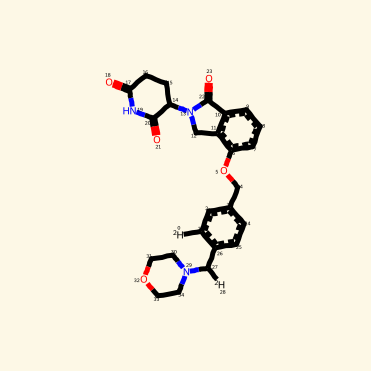 [2H]c1cc(COc2cccc3c2CN(C2CCC(=O)NC2=O)C3=O)ccc1C([2H])N1CCOCC1